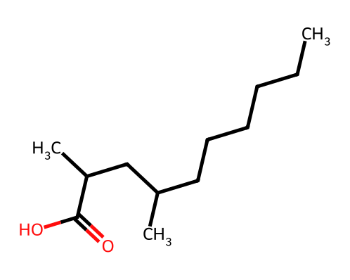 CCCCCCC(C)CC(C)C(=O)O